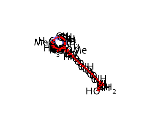 CO[C@H]1C[C@@H]2CC[C@@H](C)[C@@](O)(O2)C(=O)C(=O)N2CCCC[C@H]2C(=O)O[C@H]([C@H](C)C[C@@H]2CC[C@H](n3cc(COC(=O)NCCOCCOCCOCCC(=O)NCCOCCOCCOCCOCCC(=O)NCCCCn4nc(-c5cc6cc(O)ccc6[nH]5)c5c(N)ncnc54)nn3)[C@H](OC)C2)CC(=O)[C@H](C)/C=C(\C)[C@@H](O)[C@@H](O)C(=O)[C@H](C)C[C@H](C)/C=C/C=C/C=C/1C